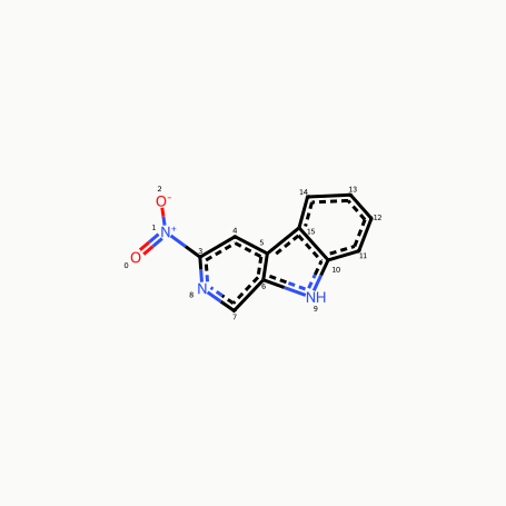 O=[N+]([O-])c1cc2c(cn1)[nH]c1ccccc12